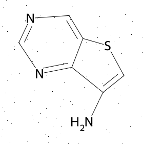 Nc1csc2cncnc12